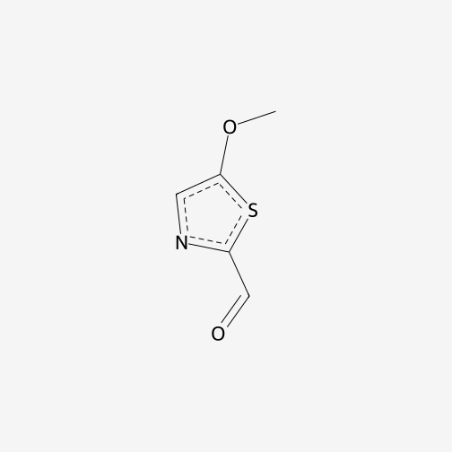 COc1cnc(C=O)s1